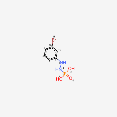 O=P(O)(O)NNc1cccc(Br)c1